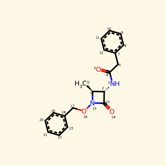 C[C@H]1[C@H](NC(=O)Cc2ccccc2)C(=O)N1OCc1ccccc1